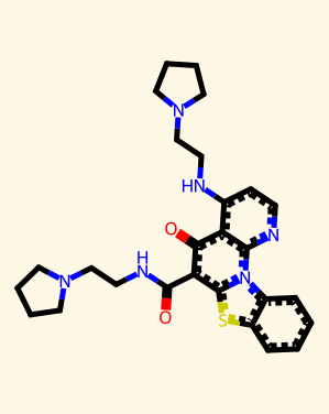 O=C(NCCN1CCCC1)c1c(=O)c2c(NCCN3CCCC3)ccnc2n2c1sc1ccccc12